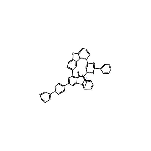 C=C/C(=C\C)c1nc(-c2ccccc2)nc(-c2cccc3oc4ccc(-c5cc(-c6ccc(-c7ccccc7)cc6)cc6c5sc5ccccc56)cc4c23)n1